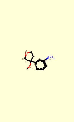 COC1(c2cccc(N)c2)CCOCC1